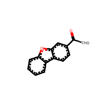 O=CC(=O)c1ccc2c(c1)oc1ccccc12